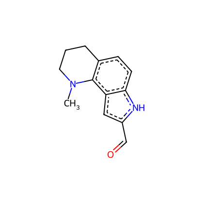 CN1CCCc2ccc3[nH]c(C=O)cc3c21